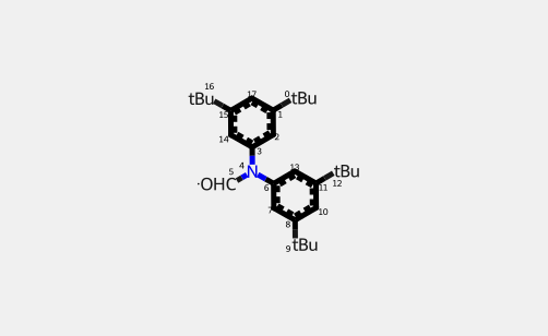 CC(C)(C)c1cc(N([C]=O)c2cc(C(C)(C)C)cc(C(C)(C)C)c2)cc(C(C)(C)C)c1